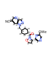 COc1cncc([C@@H]2CCON2C(=O)[C@H]2CC[C@H](Cn3ncc4ncc(C#N)cc43)CC2)n1